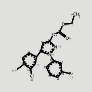 CCOC(=O)Oc1cc(-c2ccc(F)c(Cl)c2)n(-c2cccc(Br)c2)n1